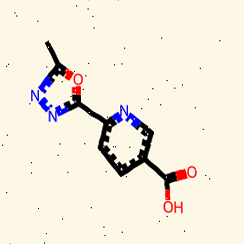 Cc1nnc(-c2ccc(C(=O)O)cn2)o1